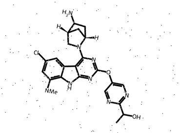 CNc1cc(Cl)cc2c1[nH]c1nc(Oc3cnc(C(C)O)nc3)nc(N3C[C@H]4C[C@@H]3CC4N)c12